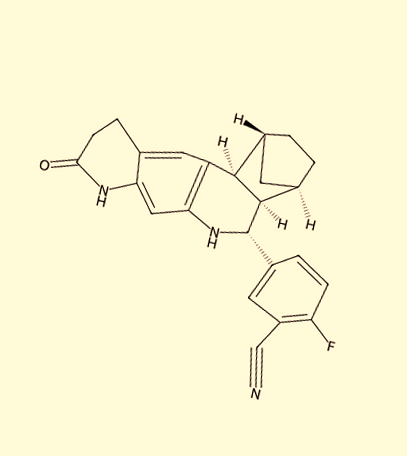 N#Cc1cc([C@@H]2Nc3cc4c(cc3[C@H]3[C@@H]5CC[C@H](C5)[C@H]32)CCC(=O)N4)ccc1F